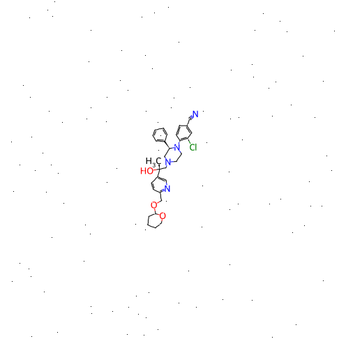 C[C@@](O)(CN1CCN(c2ccc(C#N)cc2Cl)[C@H](c2ccccc2)C1)c1ccc(COC2CCCCO2)nc1